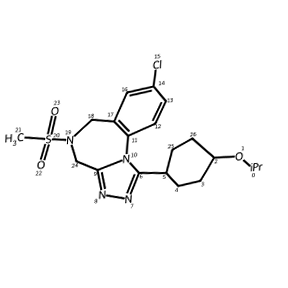 CC(C)OC1CCC(c2nnc3n2-c2ccc(Cl)cc2CN(S(C)(=O)=O)C3)CC1